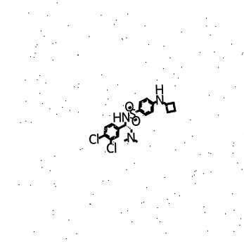 CN(C)C[C@@H](NS(=O)(=O)c1ccc(NC2CCC2)cc1)c1ccc(Cl)c(Cl)c1